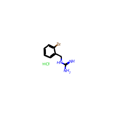 Cl.N=C(N)NCc1ccccc1Br